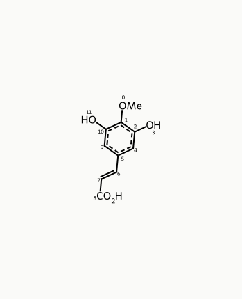 COc1c(O)cc(/C=C/C(=O)O)cc1O